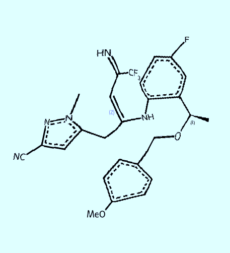 COc1ccc(CO[C@H](C)c2cc(F)ccc2N/C(=C\C(=N)C(F)(F)F)Cc2cc(C#N)nn2C)cc1